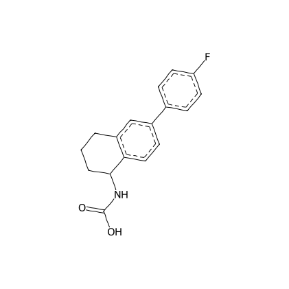 O=C(O)NC1CCCc2cc(-c3ccc(F)cc3)ccc21